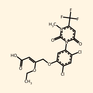 CCOC(=CC(=O)O)COc1cc(-n2c(=O)cc(C(F)(F)F)n(C)c2=O)c(Cl)cc1Cl